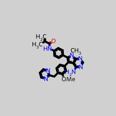 C=C(C)C(=O)Nc1ccc(-c2c(-c3ccc(Cc4ncccn4)c(OC)c3)c3c(N)ncnc3n2C)cc1